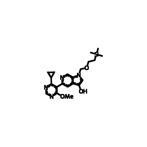 COc1ncnc(C2CC2)c1-c1cc2c(O)cn(COCC[Si](C)(C)C)c2cn1